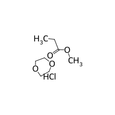 C1COCCO1.CCC(=O)OC.Cl